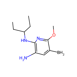 Bc1cc(N)c(NC(CC)CC)nc1OC